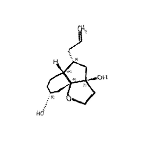 C=CC[C@@H]1C[C@]2(O)CCO[C@@]23C[C@H](O)CC[C@H]13